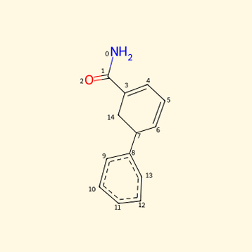 NC(=O)C1=CC=CC(c2ccccc2)C1